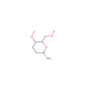 COCC1OC(N)CCC1OC